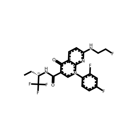 CC[C@H](NC(=O)c1cn(-c2ccc(F)cc2F)c2nc(NCCF)ccc2c1=O)C(F)(F)F